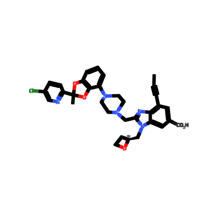 CC#Cc1cc(C(=O)O)cc2c1nc(CN1CCN(c3cccc4c3OC(C)(c3ccc(Cl)cn3)O4)CC1)n2C[C@@H]1CCO1